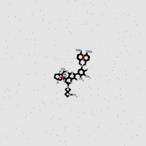 COc1ccc(CN(Cc2ccc(OC)cc2)c2cc(-c3nc4c5c(nc(N6CC7(CCN7C)C6)nc5c3F)N3C[C@H]5CC[C@@H]([C@H]3[C@H](C)O4)N5C(=O)OC(C)(C)C)c(C(F)(F)F)c(C)c2F)cc1